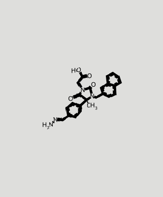 C[C@]1(c2ccc(C=NN)cc2)C(=O)N(CC(=O)O)C(=O)N1Cc1ccc2ccccc2c1